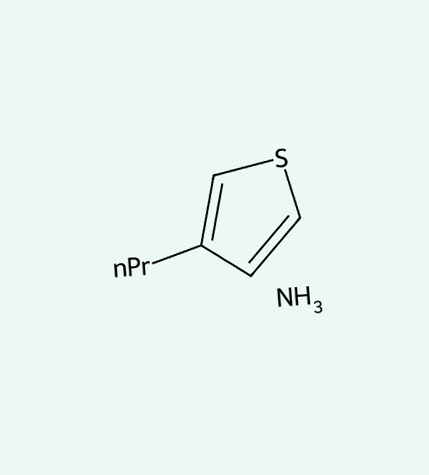 CCCc1ccsc1.N